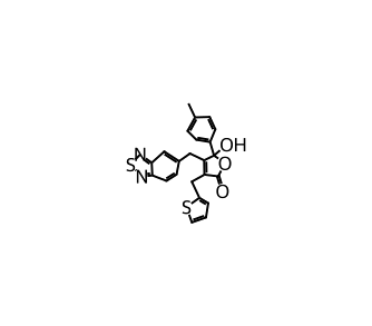 Cc1ccc(C2(O)OC(=O)C(Cc3cccs3)=C2Cc2ccc3nsnc3c2)cc1